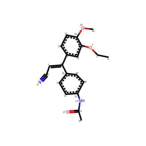 CCOc1cc(C(=CC#N)c2ccc(NC(C)=O)cc2)ccc1OC